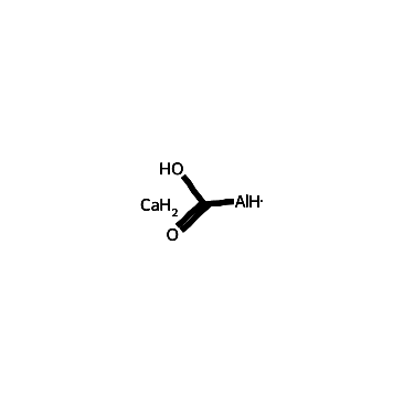 O=[C](O)[AlH].[CaH2]